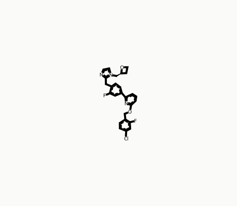 Fc1cc(Cl)ccc1COc1cccc(-c2ccc(Cc3nccn3C[C@@H]3CCO3)c(F)c2)n1